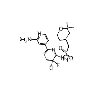 CC1(C)CC(CS(=O)(=O)NC2=NC(c3ccnc(N)c3)=CCC2(F)Cl)CCO1